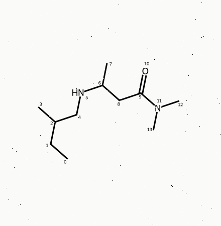 CCC(C)CNC(C)CC(=O)N(C)C